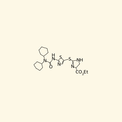 CCOC(=O)C1CNC(Sc2cnc(NC(=O)N(C3CCCCC3)C3CCCCC3)s2)=N1